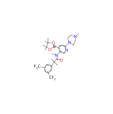 CN1CCN(c2cc(B3OC(C)(C)C(C)(C)O3)c(N(C)C(=O)C(C)(C)c3cc(C(F)(F)F)cc(C(F)(F)F)c3)cn2)CC1